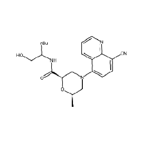 CCCCC(CO)NC(=O)[C@H]1CN(c2ccc(C#N)c3ncccc23)C[C@@H](C)O1